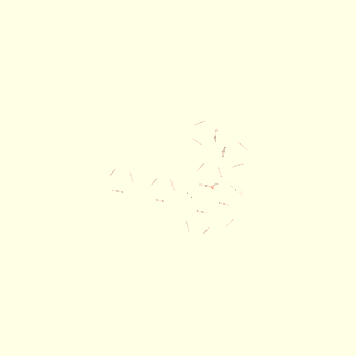 c1ccc(-c2ccc(N(c3ccc4oc5ccccc5c4c3)c3cccc4ccc5nc(-c6ccccc6)oc5c34)cc2)cc1